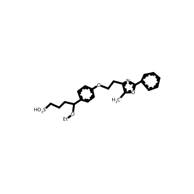 CCOC(CCCS(=O)(=O)O)c1ccc(OCCc2nc(-c3ccccc3)oc2C)cc1